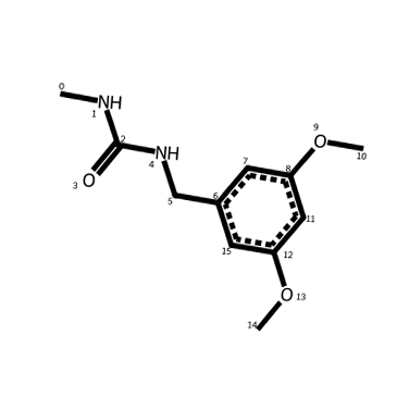 CNC(=O)NCc1cc(OC)cc(OC)c1